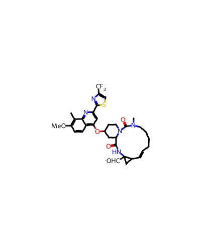 COc1ccc2c(OC3CCN4C(=O)N(C)CCCC/C=C/C5CC5([C]=O)NC(=O)C4C3)cc(-c3nc(C(F)(F)F)cs3)nc2c1C